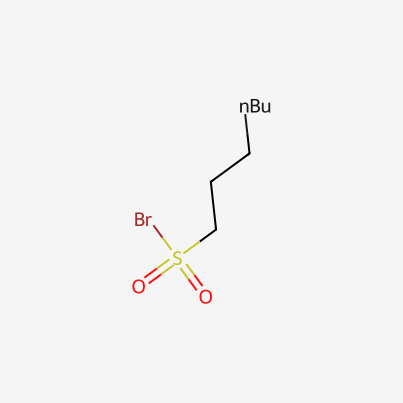 CCCCCCCS(=O)(=O)Br